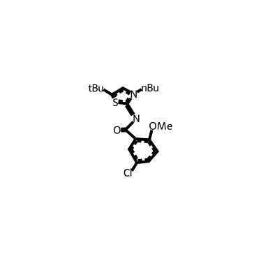 CCCCn1cc(C(C)(C)C)sc1=NC(=O)c1cc(Cl)ccc1OC